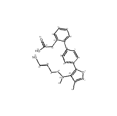 Cc1noc(-c2ccc(-c3ccccc3CC(=O)O)cc2)c1N(C)CCCCO